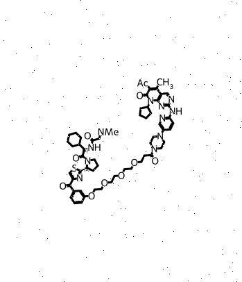 CNCC(=O)N[C@H](C(=O)N1CCC[C@H]1c1nc(C(=O)c2cccc(OCCOCCOCCOCCC(=O)N3CCN(c4ccc(Nc5ncc6c(C)c(C(C)=O)c(=O)n(C7CCCC7)c6n5)nc4)CC3)c2)cs1)C1CCCCC1